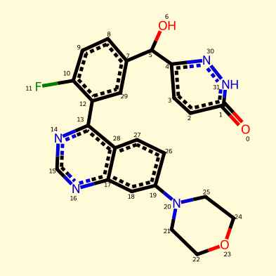 O=c1ccc(C(O)c2ccc(F)c(-c3ncnc4cc(N5CCOCC5)ccc34)c2)n[nH]1